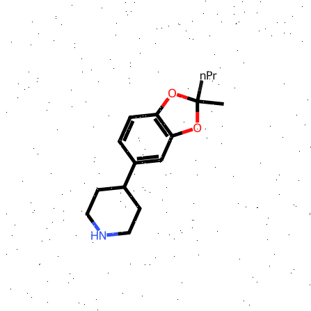 CCCC1(C)Oc2ccc(C3CCNCC3)cc2O1